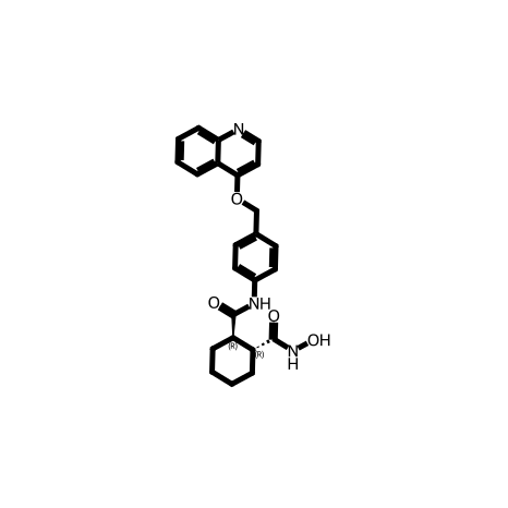 O=C(NO)[C@@H]1CCCC[C@H]1C(=O)Nc1ccc(COc2ccnc3ccccc23)cc1